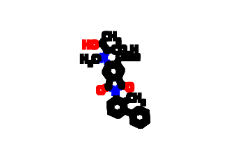 COc1cc2c(cc1N(C)C(C(=O)O)C(C)O)C(=O)N(c1cccc(-c3ccccc3)c1C)C2=O